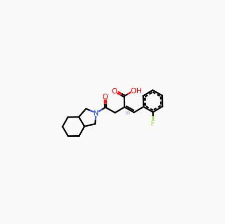 O=C(O)/C(=C\c1ccccc1F)CC(=O)N1CC2CCCCC2C1